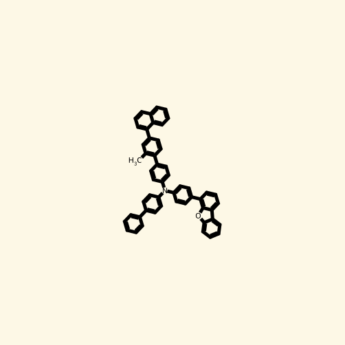 Cc1cc(-c2cccc3ccccc23)ccc1-c1ccc(N(c2ccc(-c3ccccc3)cc2)c2ccc(-c3cccc4c3oc3ccccc34)cc2)cc1